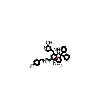 Cc1cc(C(=N)c2cc(CCNCc3ccc(F)cc3)c([N+](=O)[O-])cc2NC(c2ccccc2)(c2ccccc2)c2ccccc2)ccn1